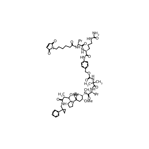 CC[C@H](C)[C@@H]([C@@H](CC(=O)N1CCC[C@H]1C(OC)[C@@H](C)C(=O)NCC1(c2ccccc2)CC1)OC)N(C)C(=O)[C@@H](NC(=O)C(C)(C)NC(=O)OCc1ccc(NC(=O)[C@H](CCCNC(N)=O)NC(=O)[C@@H](NC(=O)CCCCCN2C(=O)C=CC2=O)C(C)C)cc1)C(C)C